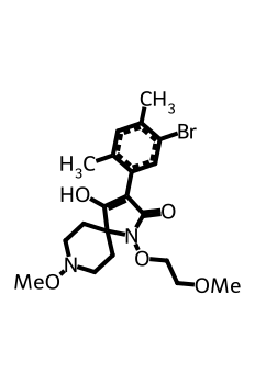 COCCON1C(=O)C(c2cc(Br)c(C)cc2C)=C(O)C12CCN(OC)CC2